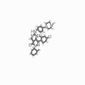 Cc1ccccc1-n1nc(-c2ccc(Cl)cc2Cl)c2nc(Nc3ccc(N4CCN(C)CC4)cc3)ncc2c1=O